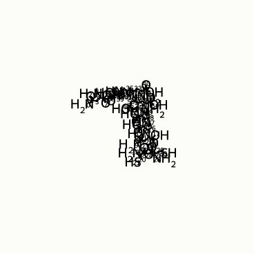 NC(=O)C[C@H](N)C(=O)O.NC(=O)C[C@H](N)C(=O)O.N[C@@H](CS)C(=O)OC(=O)[C@@H](N)CS.N[C@@H](Cc1c[nH]cn1)C(=O)O.N[C@@H](Cc1ccc(O)cc1)C(=O)O.O=C(O)[C@@H]1CCCN1.O=C(O)[C@@H]1CCCN1.O=C(O)[C@@H]1CCCN1